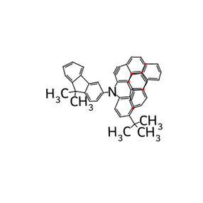 CC(C)(C)c1ccc(N(c2ccc3c(c2)-c2ccccc2C3(C)C)c2c#cc3ccccc3c2-c2ccccc2-c2ccccc2)c(C2=CC=CCC2)c1